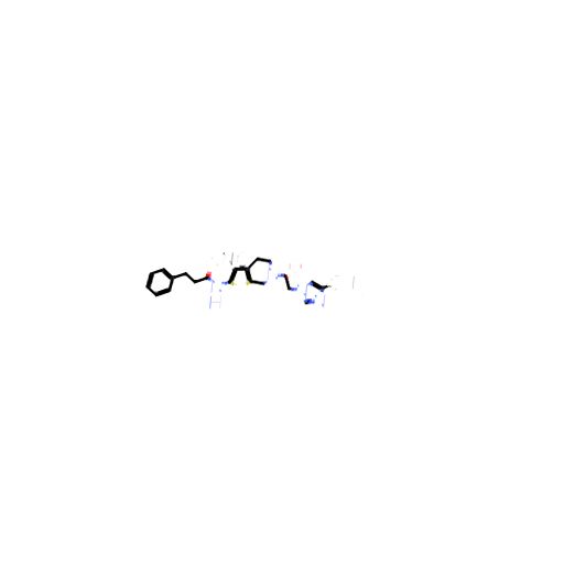 Cc1cn(CC(=O)N2CCc3c(sc(NC(=O)CCc4ccccc4)c3C#N)C2)cn1